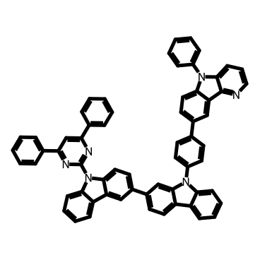 c1ccc(-c2cc(-c3ccccc3)nc(-n3c4ccccc4c4cc(-c5ccc6c7ccccc7n(-c7ccc(-c8ccc9c(c8)c8ncccc8n9-c8ccccc8)cc7)c6c5)ccc43)n2)cc1